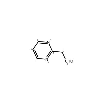 O=CCc1ncccn1